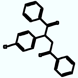 O=C(CC(C(=O)c1ccccc1)c1ccc(Cl)cc1)c1ccccc1